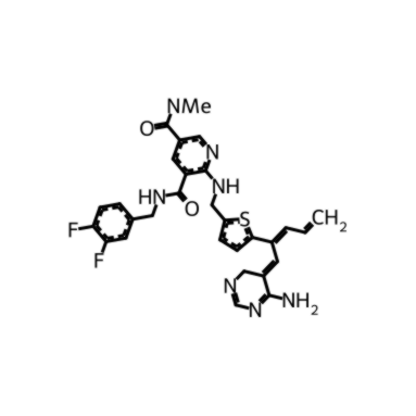 C=C/C=C(\C=C1/CN=CN=C1N)c1ccc(CNc2ncc(C(=O)NC)cc2C(=O)NCc2ccc(F)c(F)c2)s1